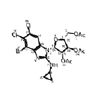 CC(=O)OC[C@H]1O[C@@H](n2c(NC3CC3)nc3c(Br)c(Cl)c(Cl)cc32)[C@H](OC(C)=O)[C@@H]1OC(C)=O